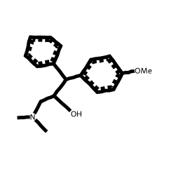 COc1ccc(C(c2ccccc2)C(O)CN(C)C)cc1